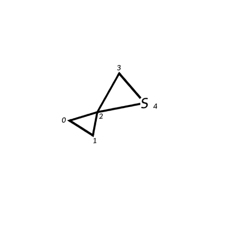 C1CC12CS2